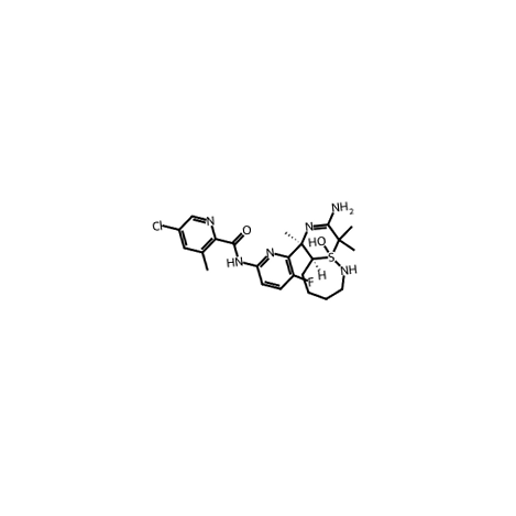 Cc1cc(Cl)cnc1C(=O)Nc1ccc(F)c([C@@]2(C)N=C(N)C(C)(C)S3(O)NCCCC[C@@H]23)n1